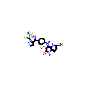 CN(c1c(C#N)c(=O)n(C)c2ccc(C#N)nc12)C1CCC(/C(=N/OC(C)(C)C)c2ccnn2C(F)F)CC1